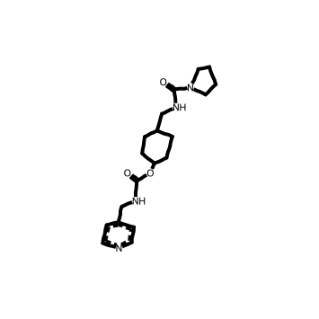 O=C(NCc1ccncc1)OC1CCC(CNC(=O)N2CCCC2)CC1